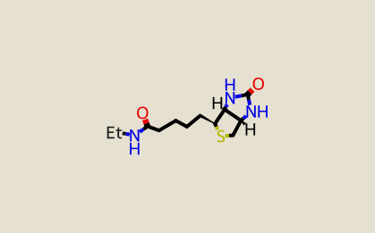 CCNC(=O)CCCC[C@@H]1SC[C@H]2NC(=O)N[C@@H]12